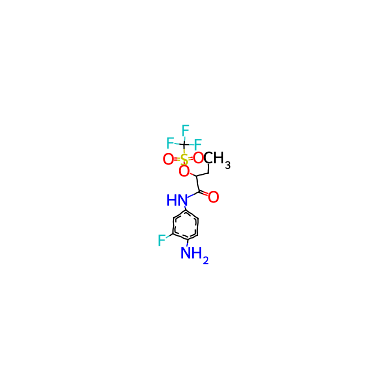 CCC(OS(=O)(=O)C(F)(F)F)C(=O)Nc1ccc(N)c(F)c1